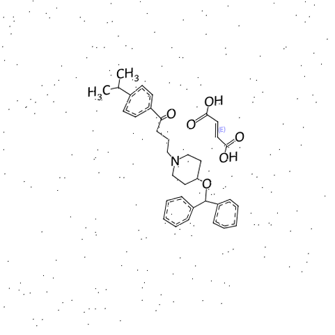 CC(C)c1ccc(C(=O)CCCN2CCC(OC(c3ccccc3)c3ccccc3)CC2)cc1.O=C(O)/C=C/C(=O)O